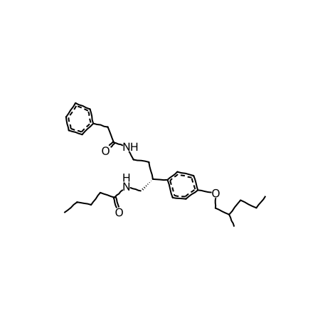 CCCCC(=O)NC[C@H](CCNC(=O)Cc1ccccc1)c1ccc(OCC(C)CCC)cc1